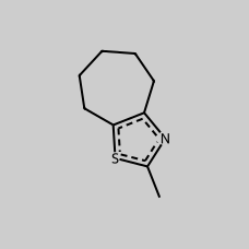 Cc1nc2c(s1)CCCCC2